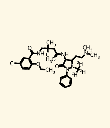 [2H]C([2H])([2H])N1C(CCN(C)C)C(NC(=O)CC(C)(C)CNC(=O)c2cc(Cl)ccc2OCC)C(=O)N1c1ccccc1